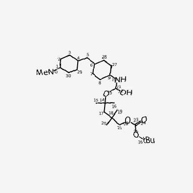 CNC1CCC(CC2CCC(NC(O)OC(C)(C)CC(C)(C)COC(=O)OC(C)(C)C)CC2)CC1